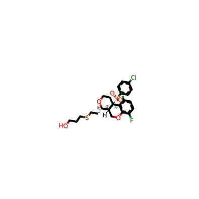 O=S(=O)(c1ccc(Cl)cc1)[C@@]12CCO[C@@H](CCSCCCO)[C@@H]1COc1c(F)ccc(F)c12